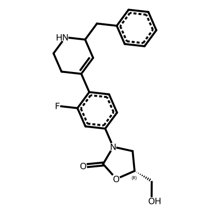 O=C1O[C@@H](CO)CN1c1ccc(C2=CC(Cc3ccccc3)NCC2)c(F)c1